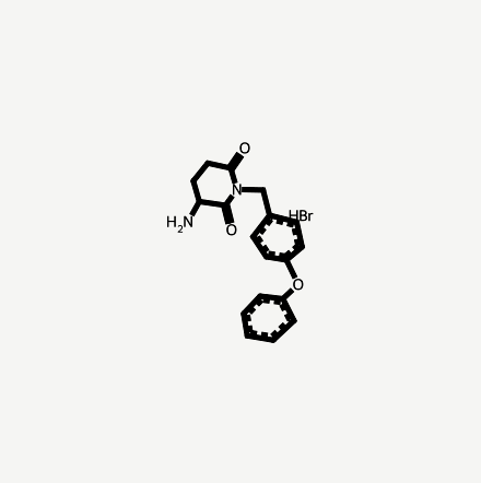 Br.NC1CCC(=O)N(Cc2ccc(Oc3ccccc3)cc2)C1=O